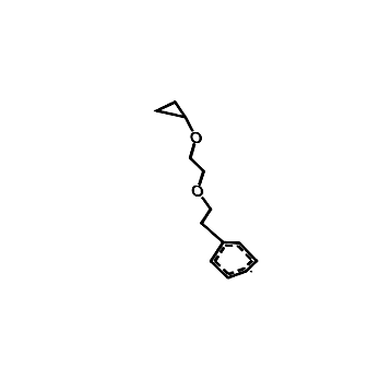 [c]1ccc(CCOCCOC2CC2)cc1